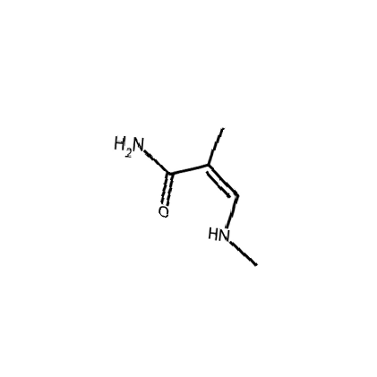 CNC=C(C)C(N)=O